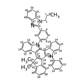 CCCn1c(-c2cccc(-n3c4ccccc4c4c5c(c6c(c7ccccc7n6-c6ccccc6)c43)-c3ccccc3C5(C)C)c2)nc2ccccc21